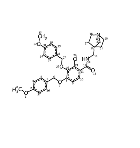 COc1ccc(COc2ccc(C(=O)NCC34CCN(CC3)C4)c(Cl)c2OCc2ccc(OC)cc2)cc1